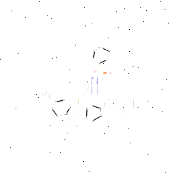 O=C(O)c1ccc2c(c1)C(SCCNS(=O)(=O)c1ccccc1)c1cc(Br)ccc1CO2